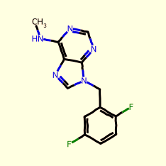 CNc1ncnc2c1ncn2Cc1cc(F)ccc1F